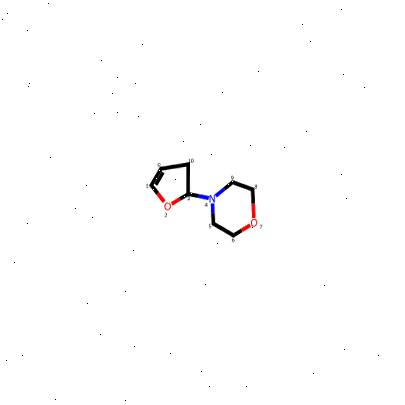 C1=CO[C](N2CCOCC2)C1